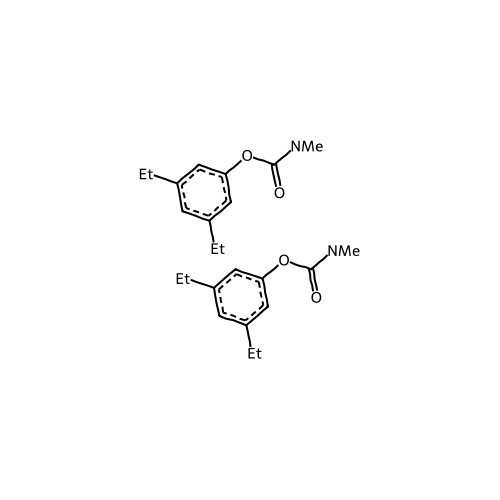 CCc1cc(CC)cc(OC(=O)NC)c1.CCc1cc(CC)cc(OC(=O)NC)c1